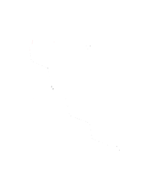 CCCCCCCCCCCCCC(=O)C(CO)S(=O)(=O)OC